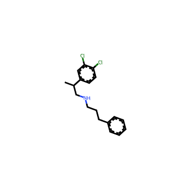 CC(CNCCCc1ccccc1)c1ccc(Cl)c(Cl)c1